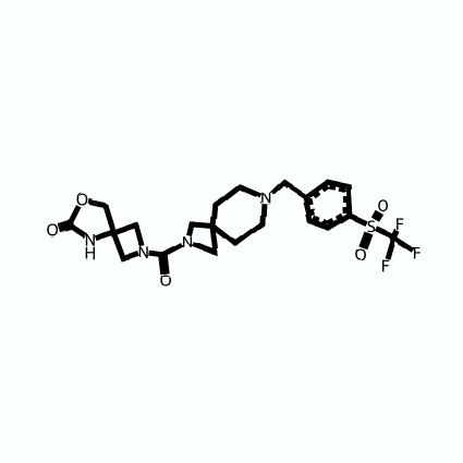 O=C1NC2(CO1)CN(C(=O)N1CC3(CCN(Cc4ccc(S(=O)(=O)C(F)(F)F)cc4)CC3)C1)C2